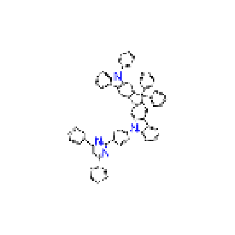 c1ccc(-c2cc(-c3ccccc3)nc(-c3ccc(-n4c5ccccc5c5cc6c(cc54)-c4cc5c7ccccc7n(-c7ccccc7)c5cc4C6(c4ccccc4)c4ccccc4)cc3)n2)cc1